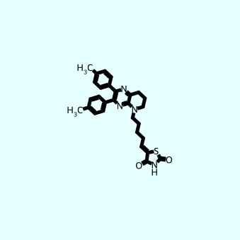 Cc1ccc(-c2nc3c(nc2-c2ccc(C)cc2)N(CCCCC=C2SC(=O)NC2=O)CCC3)cc1